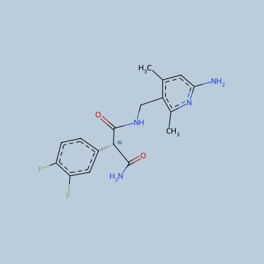 Cc1cc(N)nc(C)c1CNC(=O)[C@H](C(N)=O)c1ccc(F)c(F)c1